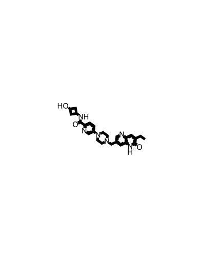 CCc1cc2ncc(CN3CCN(c4ccc(C(=O)NC5CC(O)C5)nc4)CC3)cc2[nH]c1=O